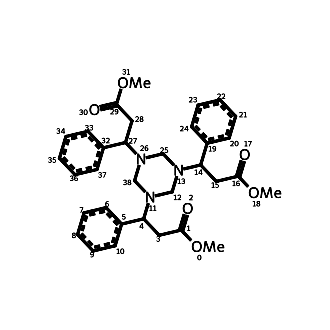 COC(=O)CC(c1ccccc1)N1CN(C(CC(=O)OC)c2ccccc2)CN(C(CC(=O)OC)c2ccccc2)C1